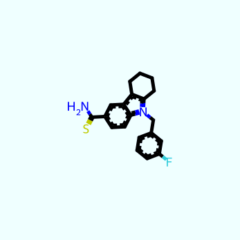 NC(=S)c1ccc2c(c1)c1c(n2Cc2cccc(F)c2)CCCC1